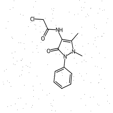 Cc1c(NC(=O)CCl)c(=O)n(-c2ccccc2)n1C